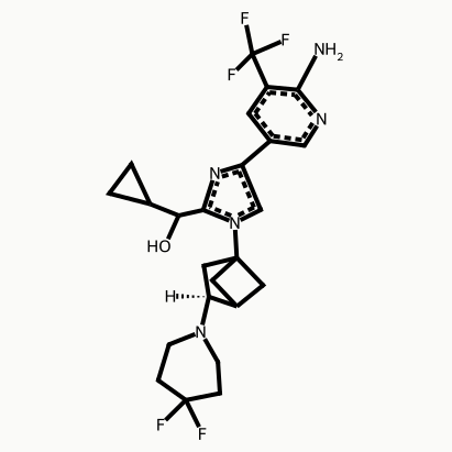 Nc1ncc(-c2cn(C34CC(C3)[C@@H](N3CCC(F)(F)CC3)C4)c(C(O)C3CC3)n2)cc1C(F)(F)F